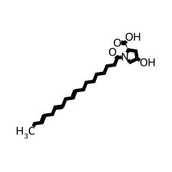 CC/C=C/C/C=C/C/C=C/CCCCCCCC(=O)N1CC(O)C[C@H]1C(=O)O